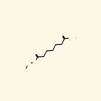 COOC(=O)CCCCCC(=O)O